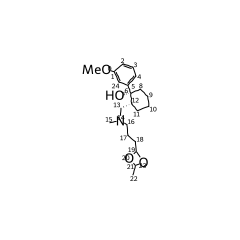 COc1cccc([C@@]2(O)CCCC[C@@H]2CN(C)CCCC2OC(C)O2)c1